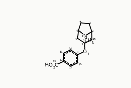 CN1C2CCC1CC(Oc1ccc(C(=O)O)cc1)C2